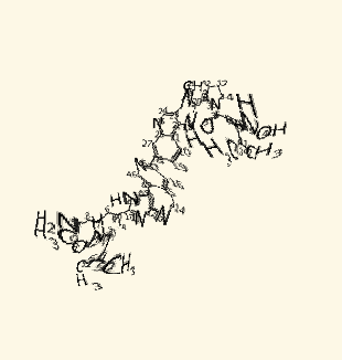 CON[C@H](C[C@@H](CCCN)c1nc2ncc3cc(-c4ccc5c6c(cnc5c4)N(C)C([C@@H]4CCCN4C(=O)[C@@H](NO)C(C)C)N6)ncc3c2[nH]1)C(C)C